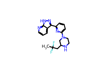 CC(F)(F)CC1CN(c2cccc(-c3n[nH]c4ncccc34)n2)CCN1